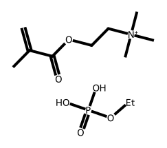 C=C(C)C(=O)OCC[N+](C)(C)C.CCOP(=O)(O)O